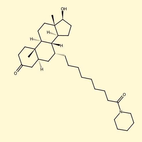 C[C@]12CCC(=O)C[C@@H]1C[C@@H](CCCCCCCCC(=O)N1CCCCC1)[C@@H]1[C@@H]2CC[C@]2(C)[C@@H](O)CC[C@@H]12